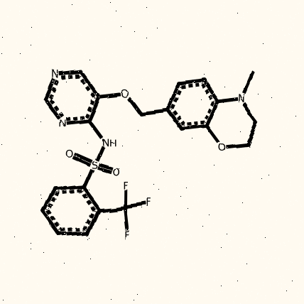 CN1CCOc2cc(COc3cncnc3NS(=O)(=O)c3ccccc3C(F)(F)F)ccc21